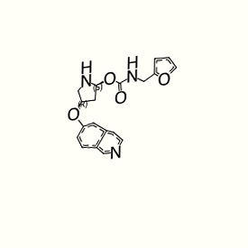 O=C(NCc1ccco1)O[C@H]1C[C@@H](Oc2ccc3cnccc3c2)CN1